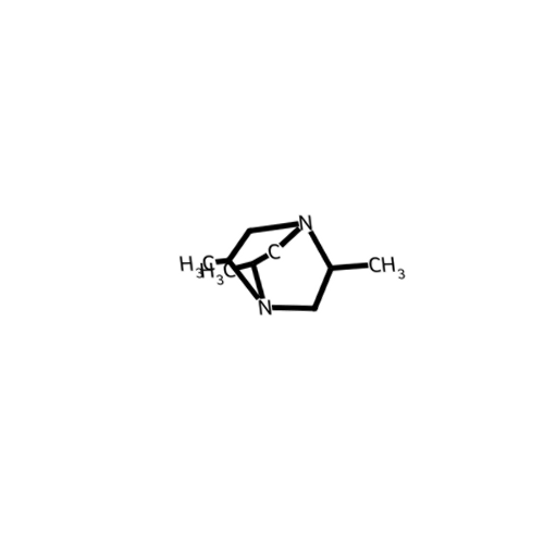 CC1CN2C(C)CN1CC2C